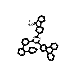 CC1(C)c2ccccc2-c2ccc(-c3nc(-c4cccc(-c5ccccc5-c5ccccc5)c4)nc(-c4ccc5c6ccccc6c6ccccc6c5c4)n3)cc21